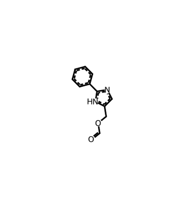 O=COCc1cnc(-c2ccccc2)[nH]1